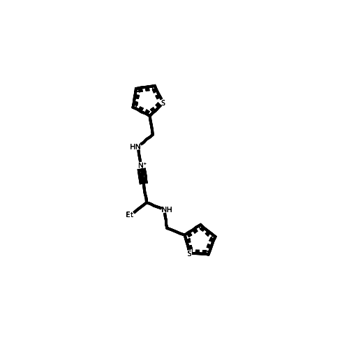 CCC(C#[N+]NCc1cccs1)NCc1cccs1